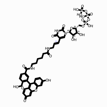 O=C(CCCCCNC(=O)c1ccc(C(=O)O)c(-c2c3ccc(=O)cc-3oc3cc(O)ccc23)c1)NC/C=C/c1cn([C@@H]2O[C@H](COP(=O)(O)OP(=O)(O)OP(=O)(O)O)[C@@H](O)[C@H]2O)c(=O)[nH]c1=O